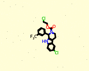 O=C(OCCCl)N1CCc2c([nH]c3ccc(Cl)cc23)C1c1cccc(C(F)(F)F)c1